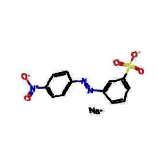 O=[N+]([O-])c1ccc(/N=N/c2cccc(S(=O)(=O)[O-])c2)cc1.[Na+]